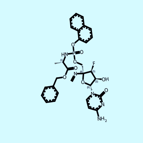 C=N[C@]1(COP(=O)(N[C@@H](C)C(=O)OCc2ccccc2)Oc2cccc3ccccc23)O[C@@H](n2ccc(N)nc2=O)[C@H](O)[C@@H]1F